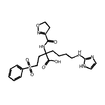 O=C(NC(CCCCNc1ncc[nH]1)(CCS(=O)(=O)c1ccccc1)C(=O)O)C1=NOCC1